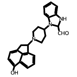 O=CC1Nc2ccccc2N1C1CCN(C2Cc3ccc(O)c4cccc2c34)CC1